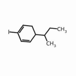 CCC(C)C1C=CC(I)=CC1